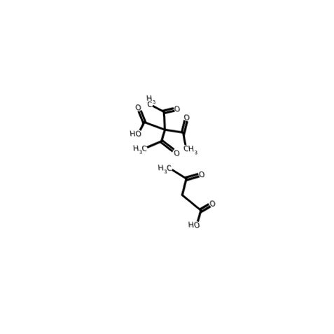 CC(=O)C(C(C)=O)(C(C)=O)C(=O)O.CC(=O)CC(=O)O